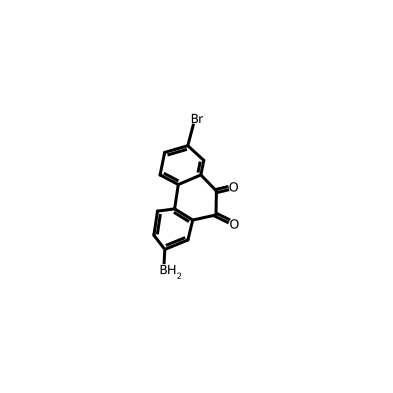 Bc1ccc2c(c1)C(=O)C(=O)c1cc(Br)ccc1-2